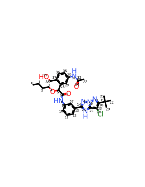 CCCCOC(C(=O)Nc1cccc(-c2nn3nc(C(C)(C)C)c(Cl)c3[nH]2)c1)c1cc(NC(C)=O)ccc1CO